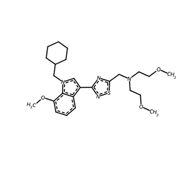 COCCN(CCOC)Cc1nc(-c2cn(CC3CCCCC3)c3c(OC)cccc23)ns1